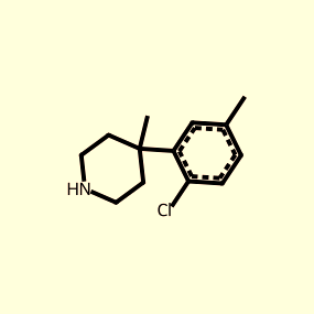 Cc1ccc(Cl)c(C2(C)CCNCC2)c1